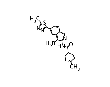 Bc1c(NC(=O)C2CCN(C)CC2)ncc2ccc(-c3nnc(C)s3)cc12